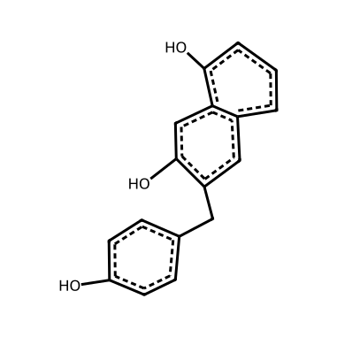 Oc1ccc(Cc2cc3cccc(O)c3cc2O)cc1